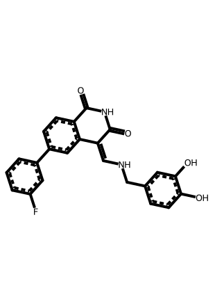 O=C1NC(=O)c2ccc(-c3cccc(F)c3)cc2C1=CNCc1ccc(O)c(O)c1